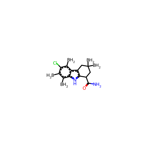 Bc1c(Cl)c(B)c2c3c([nH]c2c1B)C(C(N)=O)CC(B)(B)C3